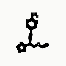 Nc1ncc(C#CC(COC=O)c2cscn2)cn1